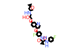 O=C(Nc1ccc(F)cc1)C1(C(=O)Nc2ccc(Oc3ccnc4cc(OCC(O)CNC5COC6(CC6)C5)ccc34)c(F)c2)CC1